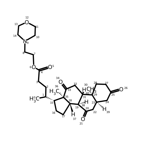 CC(CCC(=O)OCCN1CCOCC1)[C@H]1CC[C@H]2[C@@H]3C(=O)C[C@@H]4CC(=O)CC[C@]4(C)[C@H]3CC(=O)[C@]12C